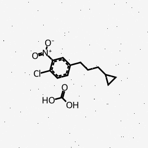 O=C(O)O.O=[N+]([O-])c1cc(CCCC2CC2)ccc1Cl